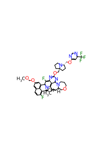 C#Cc1c(F)ccc2cc(OCOC)cc(-c3nc4c5c(nc(OC[C@@]67CCCN6[C@H](COc6cc(C(F)(F)F)ncn6)CC7)nc5c3F)N3CCCOC[C@@H]3C=C4C)c12